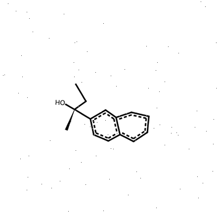 CC[C@@](C)(O)c1ccc2ccccc2c1